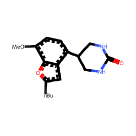 CCCCc1cc2c(C3CNC(=O)NC3)ccc(OC)c2o1